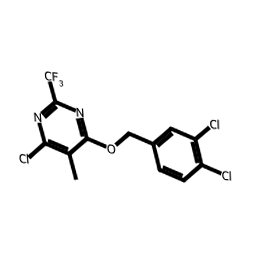 Cc1c(Cl)nc(C(F)(F)F)nc1OCc1ccc(Cl)c(Cl)c1